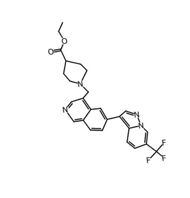 CCOC(=O)C1CCN(Cc2cncc3ccc(-c4cnn5cc(C(F)(F)F)ccc45)cc23)CC1